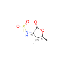 C[C@H]1[C@H](C)OC(=O)[C@H]1N[SH](=O)=O